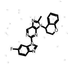 Cc1nc2cnc(-n3cnc4ccc(F)cc43)nc2n1C1CCOc2ccccc21